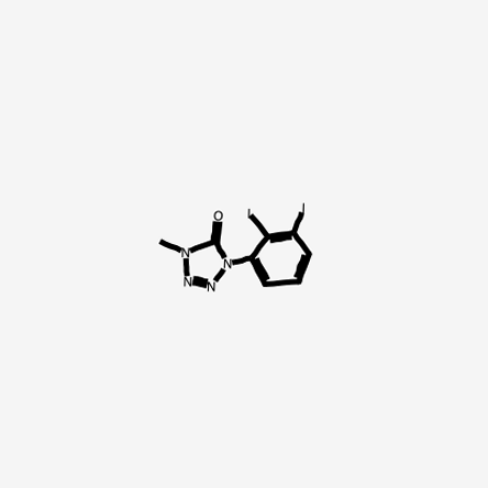 Cn1nnn(-c2cccc(I)c2I)c1=O